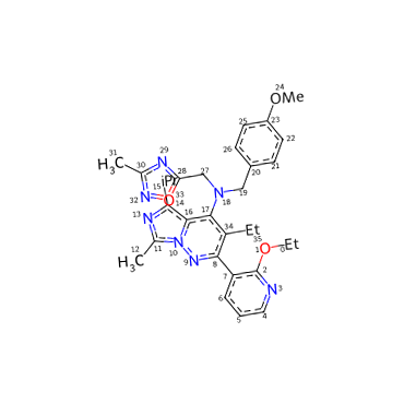 CCOc1ncccc1-c1nn2c(C)nc(C(C)C)c2c(N(Cc2ccc(OC)cc2)Cc2nc(C)no2)c1CC